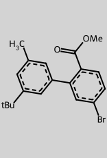 COC(=O)c1ccc(Br)cc1-c1cc(C)cc(C(C)(C)C)c1